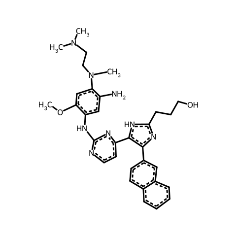 COc1cc(N(C)CCN(C)C)c(N)cc1Nc1nccc(-c2[nH]c(CCCO)nc2-c2ccc3ccccc3c2)n1